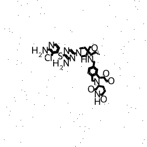 C[C@@H]1OCC2(CCN(c3cnc(Sc4ccnc(N)c4Cl)c(N)n3)CC2)[C@@H]1NCc1ccc2c(c1)C(C(=O)C=O)N(C1CCC(=O)NC1=O)C2